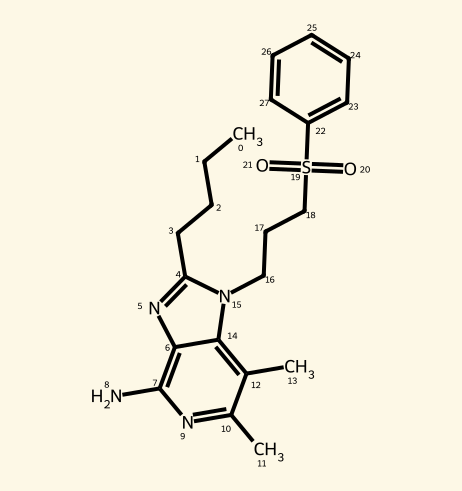 CCCCc1nc2c(N)nc(C)c(C)c2n1CCCS(=O)(=O)c1ccccc1